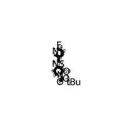 CC(C)(C)OC(=O)N1CCc2nc(-c3ccc(F)nc3)sc2C1=O